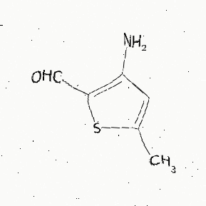 Cc1cc(N)c(C=O)s1